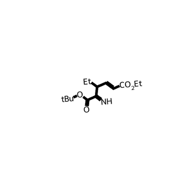 CCOC(=O)C=CC(CC)C(=N)C(=O)OC(C)(C)C